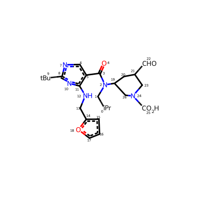 CC(C)CN(C(=O)c1cnc(C(C)(C)C)nc1NCc1ccco1)C1CC(C=O)CN(C(=O)O)C1